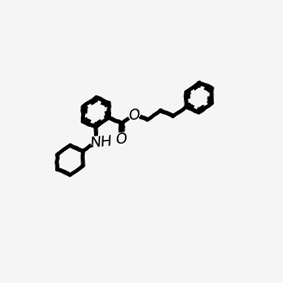 O=C(OCCCc1ccccc1)c1ccccc1NC1CCCCC1